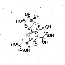 O=C(O)CC(CO)OC(=O)[C@H]1O[C@@H](O[C@H]2[C@H](O)[C@@H](O)[C@@H](O)O[C@@H]2CO)[C@H](O)[C@@H](O)[C@H]1O